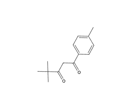 Cc1ccc(C(=O)CC(=O)C(C)(C)C)cc1